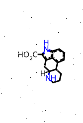 O=C(O)c1[nH]c2cccc3c2c1C[C@H]1NCCCC31